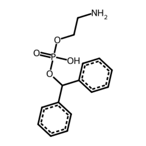 NCCOP(=O)(O)OC(c1ccccc1)c1ccccc1